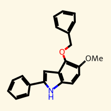 COc1ccc2[nH]c(-c3ccccc3)cc2c1OCc1ccccc1